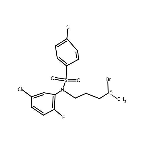 C[C@@H](Br)CCCN(c1cc(Cl)ccc1F)S(=O)(=O)c1ccc(Cl)cc1